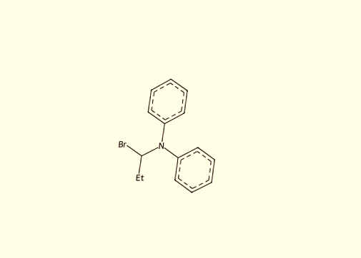 CCC(Br)N(c1ccccc1)c1ccccc1